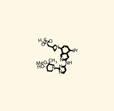 CO[C@]1(C)CN(c2nccc(Nc3cc4c(C(C)C)ccc(N5CC(CS(C)(=O)=O)C5)c4cn3)n2)CC[C@@H]1O